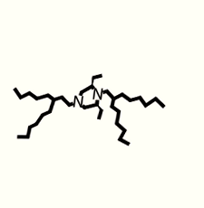 CCCCCCC(CCCCC)CCN1C[C@@H](CC)N(CC(CCCCCC)CCCCCC)[C@@H](CC)C1